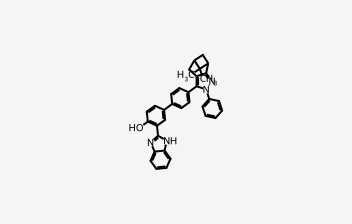 CC1(C)C2Cc3c(nn(-c4ccccc4)c3-c3ccc(-c4ccc(O)c(-c5nc6ccccc6[nH]5)c4)cc3)C1C2